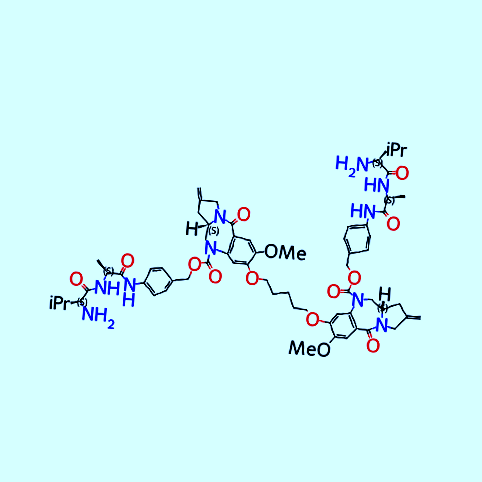 C=C1C[C@H]2CN(C(=O)OCc3ccc(NC(=O)[C@H](C)NC(=O)[C@@H](N)C(C)C)cc3)c3cc(OCCCCCOc4cc5c(cc4OC)C(=O)N4CC(=C)C[C@H]4CN5C(=O)OCc4ccc(NC(=O)[C@H](C)NC(=O)[C@@H](N)C(C)C)cc4)c(OC)cc3C(=O)N2C1